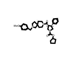 COc1ccc(CN2CCC3(CCN(C(=O)[C@@H]4CN(C(=O)OC5CCCC5)C[C@@H]4c4ccccc4)CC3)C2)cc1